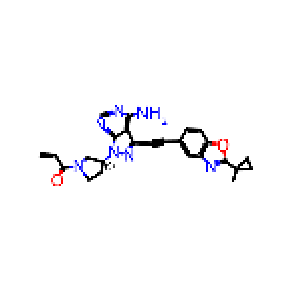 C=CC(=O)N1CC[C@H](n2nc(C#Cc3ccc4oc(C5(C)CC5)nc4c3)c3c(N)ncnc32)C1